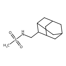 CS(=O)(=O)NCC1C2CC3CC(C2)CC1C3